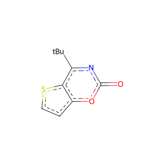 CC(C)(C)c1nc(=O)oc2ccsc12